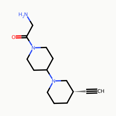 C#C[C@@H]1CCCN(C2CCN(C(=O)CN)CC2)C1